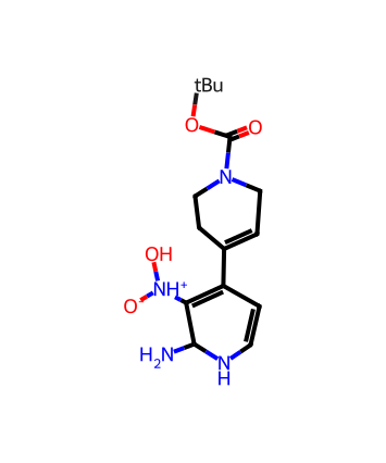 CC(C)(C)OC(=O)N1CC=C(C2=C([NH+]([O-])O)C(N)NC=C2)CC1